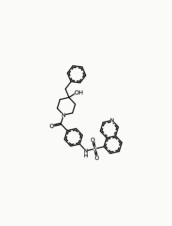 O=C(c1ccc(NS(=O)(=O)c2cccc3cnccc23)cc1)N1CCC(O)(Cc2ccccc2)CC1